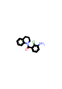 Nc1cccc(C(=O)N2CCCc3ccccc32)c1Cl